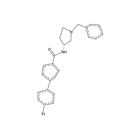 CCc1ccc(-c2ccc(C(=O)N[C@@H]3CCN(Cc4ccccc4)C3)cc2)cc1